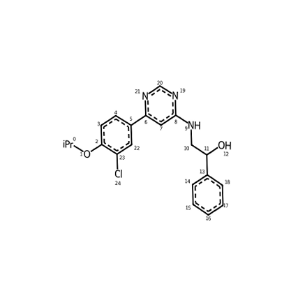 CC(C)Oc1ccc(-c2cc(NCC(O)c3ccccc3)ncn2)cc1Cl